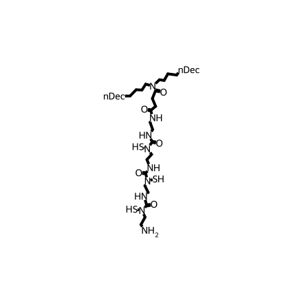 CCCCCCCCCCCCCCN(CCCCCCCCCCCCCC)C(=O)CCC(=O)NCCNC(=O)N(S)CCNC(=O)N(S)CCNC(=O)N(S)CCN